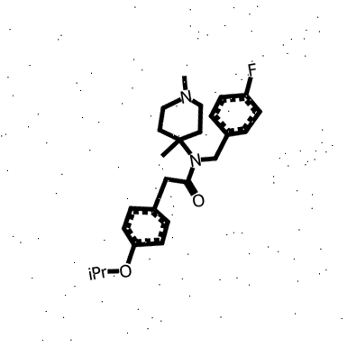 CC(C)Oc1ccc(CC(=O)N(Cc2ccc(F)cc2)C2(C)CCN(C)CC2)cc1